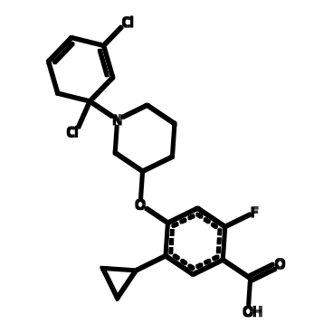 O=C(O)c1cc(C2CC2)c(OC2CCCN(C3(Cl)C=C(Cl)C=CC3)C2)cc1F